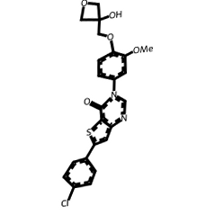 COc1cc(-n2cnc3cc(-c4ccc(Cl)cc4)sc3c2=O)ccc1OCC1(O)COC1